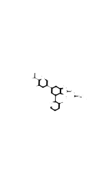 CCNC(=O)Nc1nc2cc(-c3cnc(C(C)O)c(F)c3)cc(-c3ncccc3F)c2[nH]1